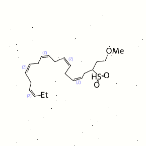 CC/C=C\C/C=C\C/C=C\C/C=C\C/C=C\CC(CCOC)[SH](=O)=O